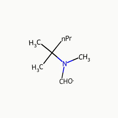 CCCC(C)(C)N(C)[C]=O